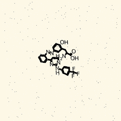 NC(Cc1cc(N=Nc2ccccc2-c2ccnc(Nc3ccc(C(F)(F)F)cc3)n2)ccc1O)C(=O)O